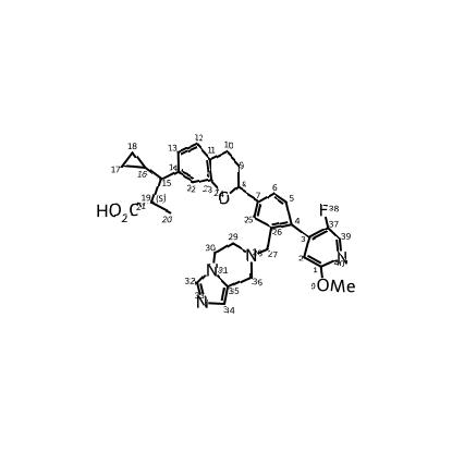 COc1cc(-c2ccc(C3CCc4ccc(C(C5CC5)[C@H](C)C(=O)O)cc4O3)cc2CN2CCn3cncc3C2)c(F)cn1